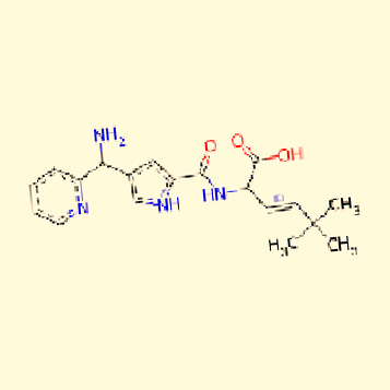 CC(C)(C)/C=C/C(NC(=O)c1cc(C(N)c2ccccn2)c[nH]1)C(=O)O